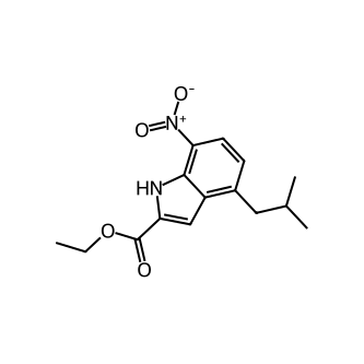 CCOC(=O)c1cc2c(CC(C)C)ccc([N+](=O)[O-])c2[nH]1